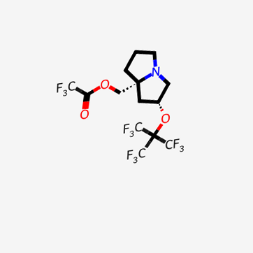 O=C(OC[C@]12CCCN1C[C@H](OC(C(F)(F)F)(C(F)(F)F)C(F)(F)F)C2)C(F)(F)F